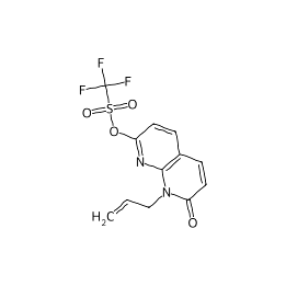 C=CCn1c(=O)ccc2ccc(OS(=O)(=O)C(F)(F)F)nc21